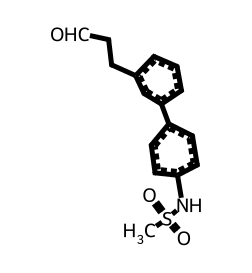 CS(=O)(=O)Nc1ccc(-c2cccc(CCC=O)c2)cc1